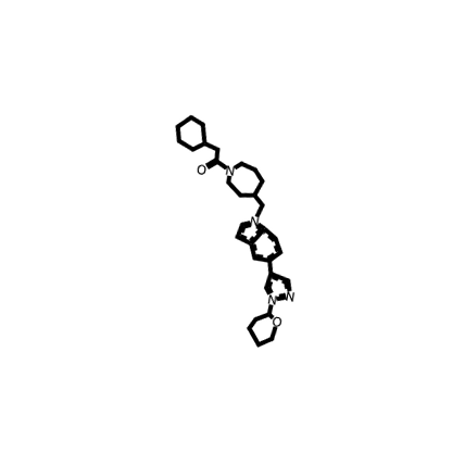 O=C(CC1CCCCC1)N1CCCC(Cn2ccc3cc(-c4cnn(C5CCCCO5)c4)ccc32)CC1